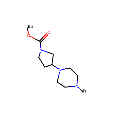 CCCN1CCN(C2CCN(C(=O)OC(C)(C)C)C2)CC1